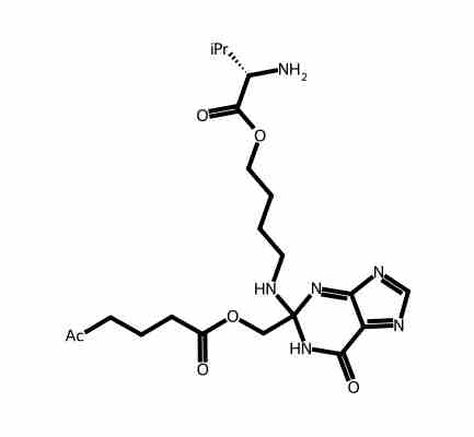 CC(=O)CCCC(=O)OCC1(NCCCCOC(=O)[C@@H](N)C(C)C)N=C2N=CN=C2C(=O)N1